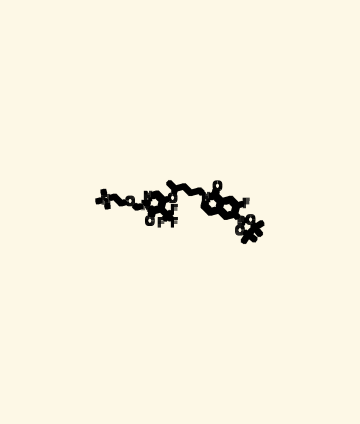 CC(CCCn1ccc2cc(B3OC(C)(C)C(C)(C)O3)c(F)cc2c1=O)Oc1cnn(COCC[Si](C)(C)C)c(=O)c1C(F)(F)F